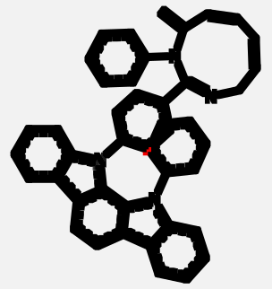 C=C1/C=C\C=C/C/N=C(/c2ccc(-n3c4ccccc4c4ccc5c6ccccc6n(-c6ccccc6)c5c43)cc2)N1c1ccccc1